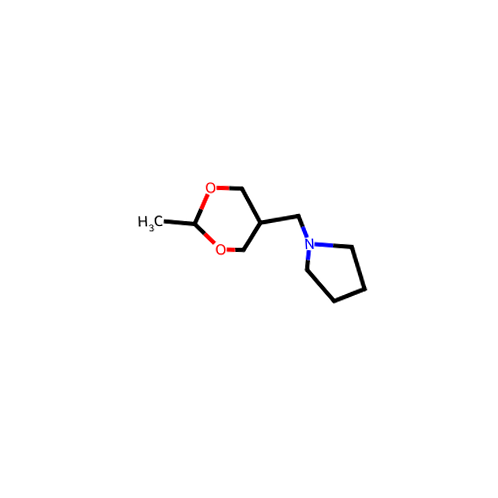 CC1OCC(CN2CCCC2)CO1